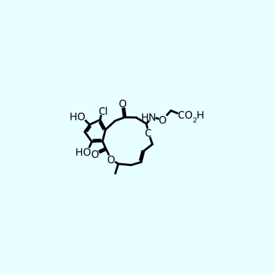 CC1C/C=C/CCC(NOCC(=O)O)CC(=O)Cc2c(Cl)c(O)cc(O)c2C(=O)O1